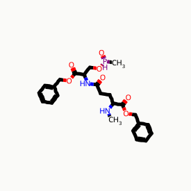 CNC(CCC(=O)NC(CO[PH](C)=O)C(=O)OCc1ccccc1)C(=O)OCc1ccccc1